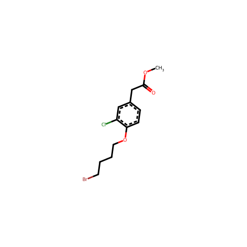 COC(=O)Cc1ccc(OCCCCBr)c(Cl)c1